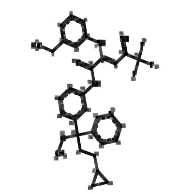 CCc1cccc(N/C(=C\C(=N)C(F)(F)F)C(=O)Nc2cccc(C(CCC3CC3)(OC)c3cccnc3)c2)c1